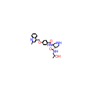 Cc1cc(COc2ccc(C(=O)N[C@@H]3CNCC[C@@H]3C(=O)NCC(C)O)cc2)c2ccccc2n1